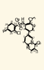 COc1ncc(-c2ccc3ncc(C)c(=O)n3c2)cc1NS(=O)(=O)c1ccc(F)cc1Cl